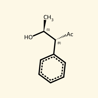 CC(=O)[C@H](c1ccccc1)[C@H](C)O